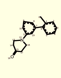 Cc1ccccc1-c1cccc(N2CCC(=O)CC2)c1